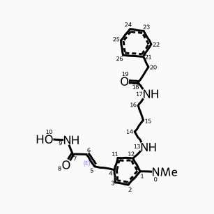 CNc1ccc(/C=C/C(=O)NO)cc1NCCCNC(=O)Cc1ccccc1